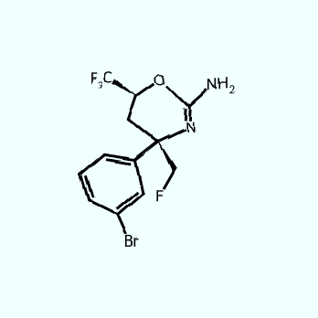 NC1=N[C@](CF)(c2cccc(Br)c2)C[C@@H](C(F)(F)F)O1